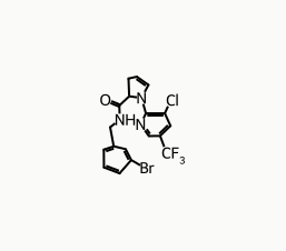 O=C(NCc1cccc(Br)c1)C1CC=CN1c1ncc(C(F)(F)F)cc1Cl